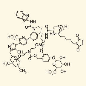 COCCN(CCOC12CC3(C)CC(C)(CC(Cn4ncc(-c5ccc(-c6ccc7c(c6)N(C(=O)Nc6nc8ccccc8s6)CCC7)nc5C(=O)O)c4C)(C3)C1)C2)C(=O)OCc1ccc(O[C@H]2O[C@H](C(=O)O)[C@@H](O)[C@@H](O)[C@H]2O)cc1OCCOCCNC(=O)[C@H](CS(=O)(=O)O)NC(=O)CCCCCN1C(=O)C=CC1=O